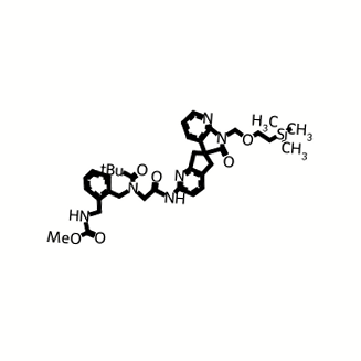 COC(=O)NCc1ccccc1CN(CC(=O)Nc1ccc2c(n1)CC1(C2)C(=O)N(COCC[Si](C)(C)C)c2ncccc21)C(=O)C(C)(C)C